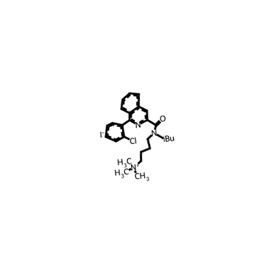 CCC(C)N(CCCC[N+](C)(C)C)C(=O)c1cc2ccccc2c(-c2ccccc2Cl)n1.[I-]